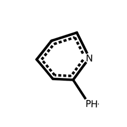 [PH]c1ccccn1